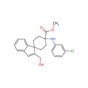 COC(=O)C1(Nc2cccc(Cl)c2)CCC2(CC1)C(CO)=Cc1ccccc12